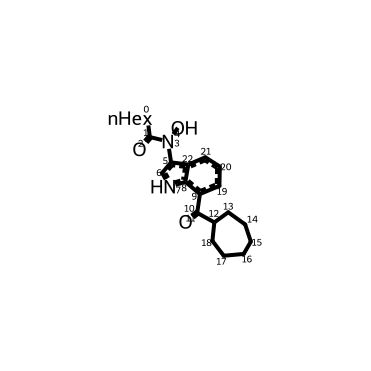 CCCCCCC(=O)N(O)c1c[nH]c2c(C(=O)C3CCCCCC3)cccc12